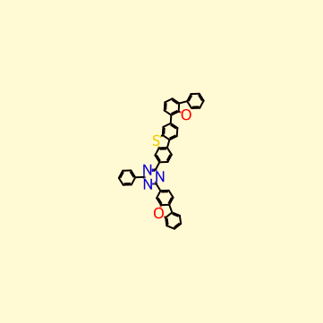 c1ccc(-c2nc(-c3ccc4c(c3)oc3ccccc34)nc(-c3ccc4c(c3)sc3cc(-c5cccc6c5oc5ccccc56)ccc34)n2)cc1